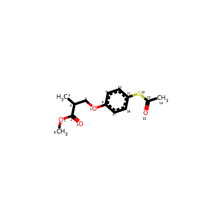 COC(=O)C(C)COc1ccc(SC(C)=O)cc1